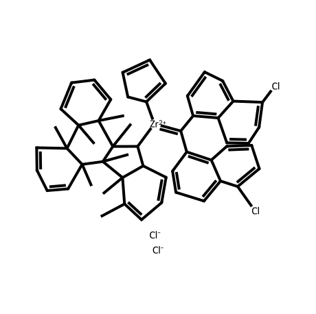 CC1=CC=CC2[CH]([Zr+2]([C]3=CC=CC3)=[C](c3cccc4c(Cl)cccc34)c3cccc4c(Cl)cccc34)C3(C)C4(C)C=CC=CC4(C)C4(C)C=CC=CC4(C)C3(C)C12C.[Cl-].[Cl-]